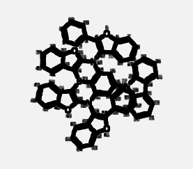 c1ccc(-c2oc3ccccc3c2N2c3cc(-n4c5ccccc5c5ccccc54)cc4c3B(c3c2oc2ccccc32)c2c(oc3ccccc23)N4c2c(-c3ccccc3)oc3ccccc23)cc1